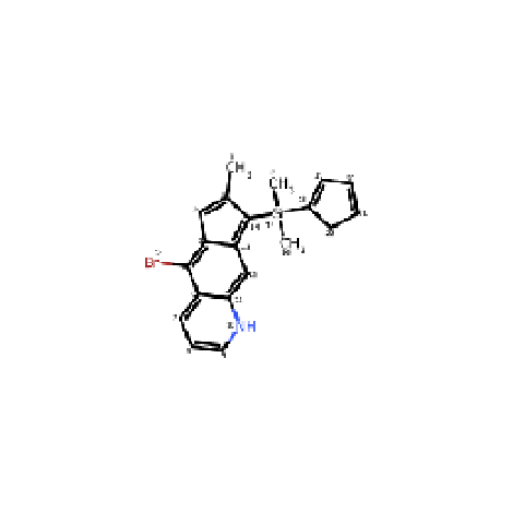 Cc1cc2c(Br)c3ccc[nH]c3cc2c1[Si](C)(C)C1=CC=CC1